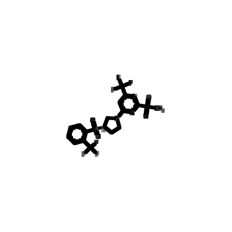 CS(=O)(=O)c1nc(N2CC[C@H](S(=O)(=O)c3ccccc3C(F)(F)F)C2)cc(C(F)(F)F)n1